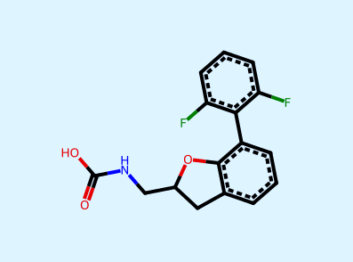 O=C(O)NCC1Cc2cccc(-c3c(F)cccc3F)c2O1